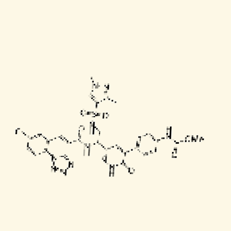 COC(=O)Nc1ccc(-c2cc(C(CNS(=O)(=O)c3cn(C)nc3C)NC(=O)/C=C/c3cc(Cl)ccc3-n3cnnn3)n[nH]c2=O)cc1